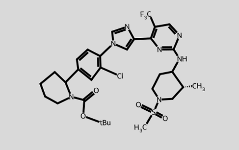 C[C@@H]1CN(S(C)(=O)=O)CCC1Nc1ncc(C(F)(F)F)c(-c2cn(-c3ccc(C4CCCCN4C(=O)OC(C)(C)C)cc3Cl)cn2)n1